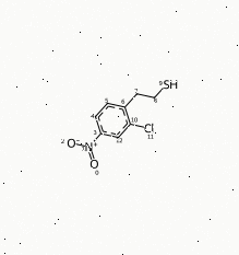 O=[N+]([O-])c1ccc(CCS)c(Cl)c1